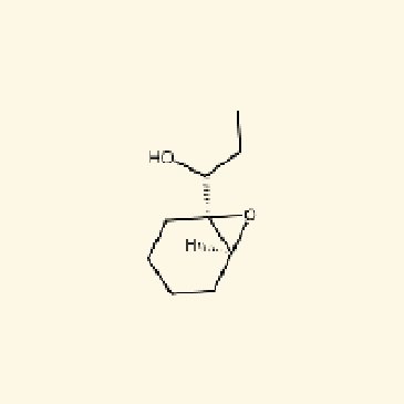 CCC(O)[C@@]12CCCC[C@@H]1O2